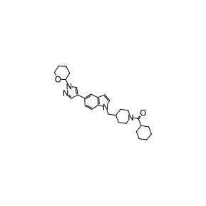 O=C(C1CCCCC1)N1CCC(Cn2ccc3cc(-c4cnn(C5CCCCO5)c4)ccc32)CC1